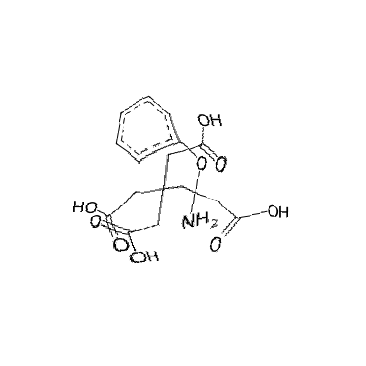 NC(CC(=O)O)(Oc1ccccc1)C(CC(=O)O)(CC(=O)O)CC(=O)O